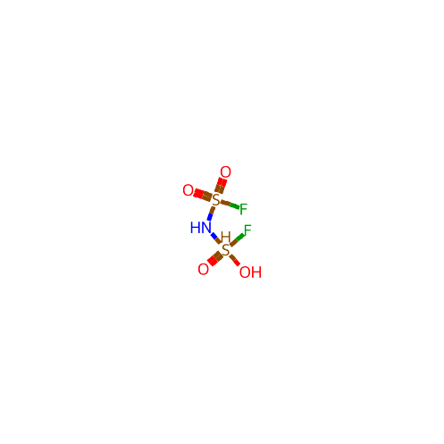 O=S(=O)(F)N[SH](=O)(O)F